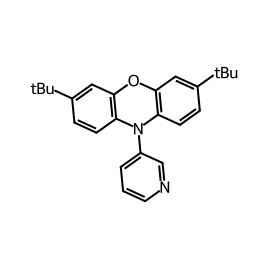 CC(C)(C)c1ccc2c(c1)Oc1cc(C(C)(C)C)ccc1N2c1cccnc1